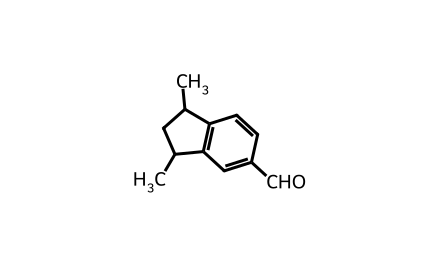 CC1CC(C)c2cc(C=O)ccc21